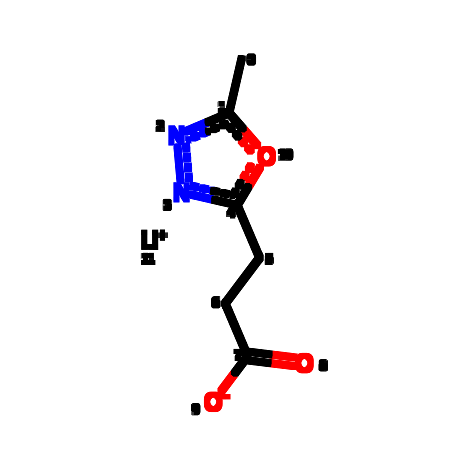 Cc1nnc(CCC(=O)[O-])o1.[Li+]